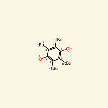 CC(C)(C)c1c(O)c(C(C)(C)C)c(C(C)(C)C)c(O)c1C(C)(C)C